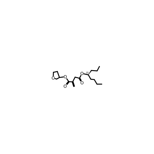 C=C(CC(=O)O[C@@H](CCC)CCCC)C(=O)OC1CCOC1